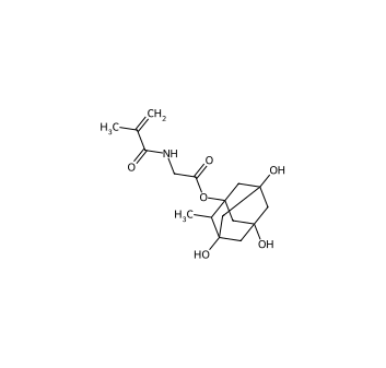 C=C(C)C(=O)NCC(=O)OC12CC3(O)CC(O)(CC(O)(C3)C1C)C2